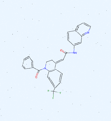 O=C(/C=C1\CCN(C(=O)c2ccccc2)c2cc(C(F)(F)F)ccc21)Nc1ccc2cccnc2c1